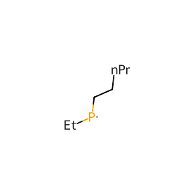 CCCCC[P]CC